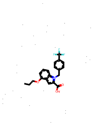 CCCOc1cccc2c1cc(C(=O)O)n2Cc1ccc(C(F)(F)F)cc1